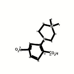 C[Si]1(C)CCN(c2cc([N+](=O)[O-])ccc2C(=O)O)CC1